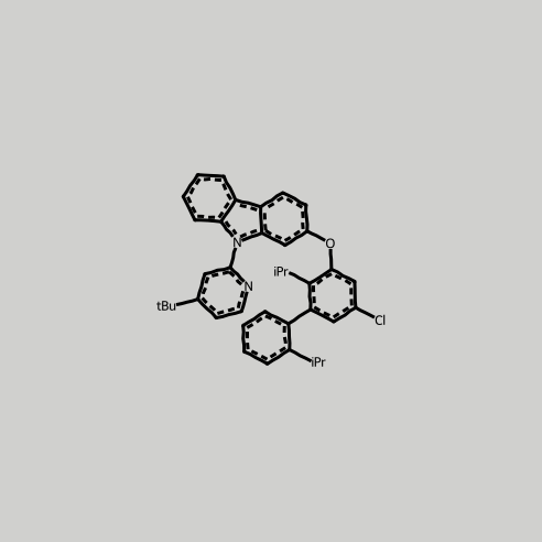 CC(C)c1ccccc1-c1cc(Cl)cc(Oc2ccc3c4ccccc4n(-c4cc(C(C)(C)C)ccn4)c3c2)c1C(C)C